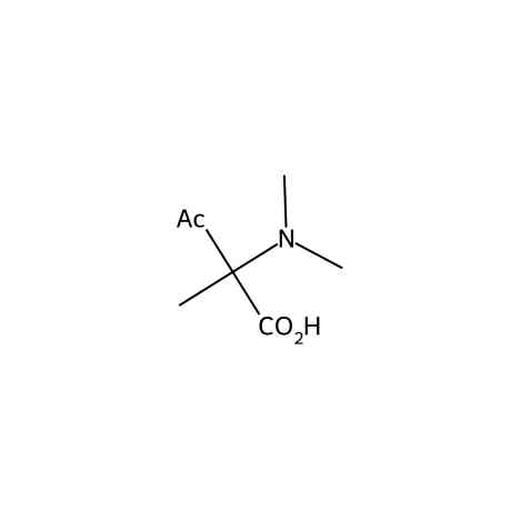 CC(=O)C(C)(C(=O)O)N(C)C